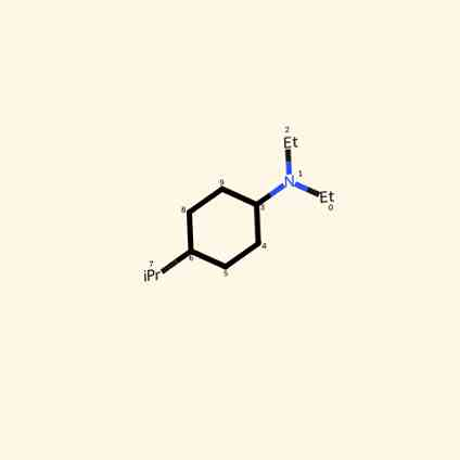 CCN(CC)C1CCC(C(C)C)CC1